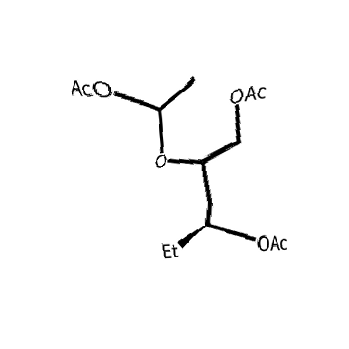 CC[C@H](OC(C)=O)C(COC(C)=O)OC(C)OC(C)=O